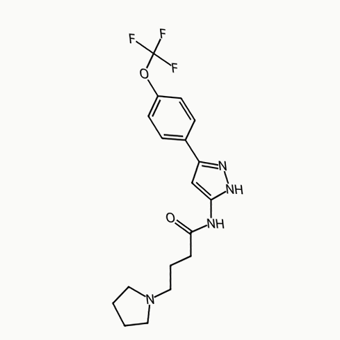 O=C(CCCN1CCCC1)Nc1cc(-c2ccc(OC(F)(F)F)cc2)n[nH]1